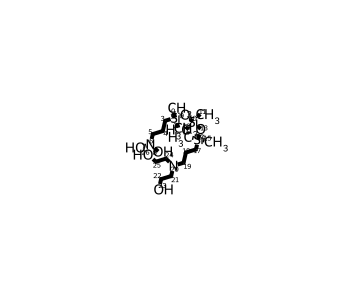 C[Si](C)(CCCN(O)O)O[Si](C)(C)O[Si](C)(C)CCCN(CCO)CCO